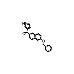 O=C(c1ccc2cc(OCc3ccccc3)ccc2c1)c1c[nH]cn1